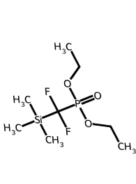 CCOP(=O)(OCC)C(F)(F)[Si](C)(C)C